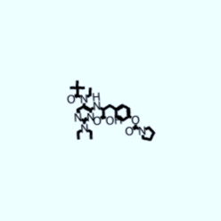 CCN(CC)c1ncc(N(CC)C(=O)C(C)(C)C)c(NC(Cc2ccc(OC(=O)N3CCCC3)cc2)C(=O)O)n1